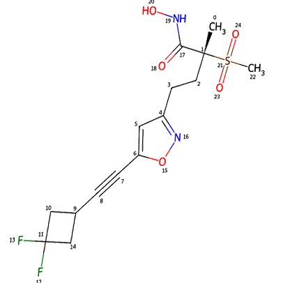 C[C@@](CCc1cc(C#CC2CC(F)(F)C2)on1)(C(=O)NO)S(C)(=O)=O